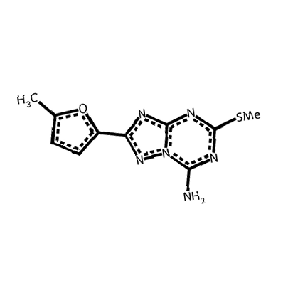 CSc1nc(N)n2nc(-c3ccc(C)o3)nc2n1